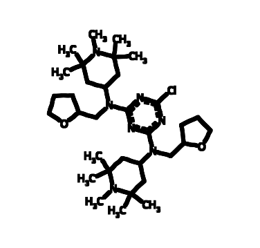 CN1C(C)(C)CC(N(CC2CCCO2)c2nc(Cl)nc(N(CC3CCCO3)C3CC(C)(C)N(C)C(C)(C)C3)n2)CC1(C)C